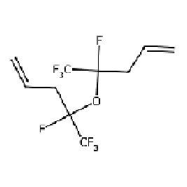 C=CCC(F)(OC(F)(CC=C)C(F)(F)F)C(F)(F)F